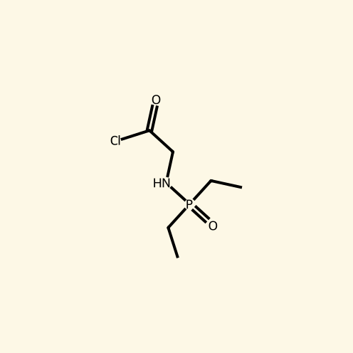 CCP(=O)(CC)NCC(=O)Cl